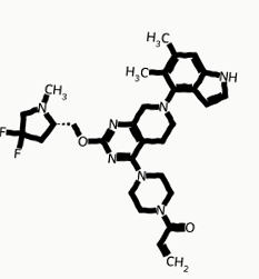 C=CC(=O)N1CCN(c2nc(OC[C@@H]3CC(F)(F)CN3C)nc3c2CCN(c2c(C)c(C)cc4[nH]ccc24)C3)CC1